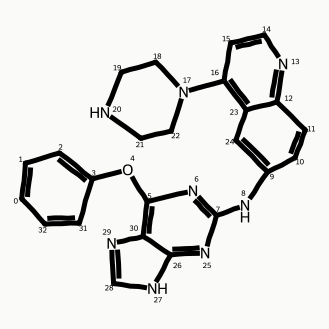 c1ccc(Oc2nc(Nc3ccc4nccc(N5CCNCC5)c4c3)nc3[nH]cnc23)cc1